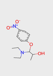 CCN(CC)C(Oc1ccc([N+](=O)[O-])cc1)C(C)O